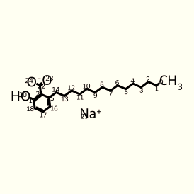 CCCCCCCCCCCCCCCc1cccc(O)c1C(=O)[O-].[Na+]